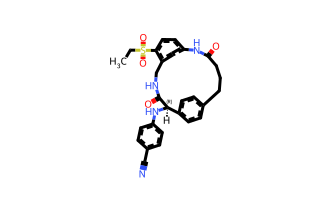 CCS(=O)(=O)c1ccc2cc1CNC(=O)[C@H](Nc1ccc(C#N)cc1)c1ccc(cc1)CCCC(=O)N2